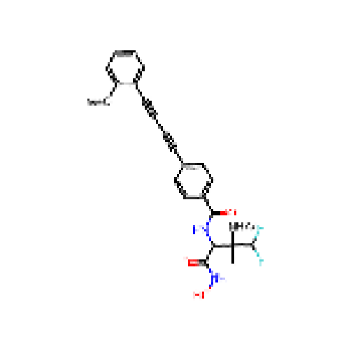 COc1ccccc1C#CC#Cc1ccc(C(=O)NC(C(=O)NO)C(C)(NC(C)=O)C(F)F)cc1